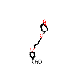 O=Cc1ccc(OCCCCCOCC2CCC3OC3C2)cc1